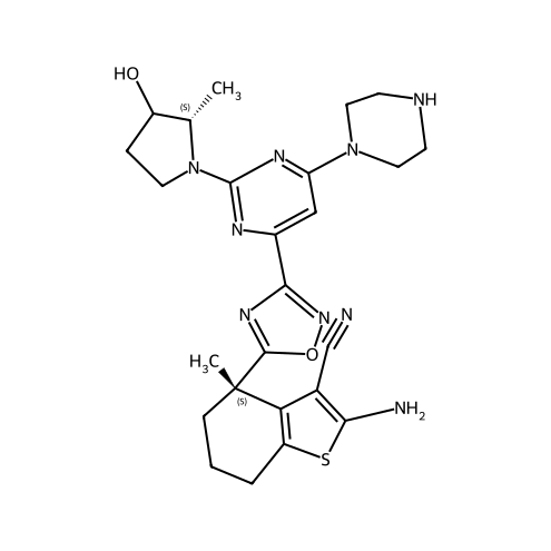 C[C@H]1C(O)CCN1c1nc(-c2noc([C@@]3(C)CCCc4sc(N)c(C#N)c43)n2)cc(N2CCNCC2)n1